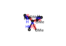 COCCOCCOCCN(CCCC(=O)NC(C)(C)C1CCCCC1)c1cc(COc2cc3c(cc2OC)C(=O)N2c4ccccc4C[C@H]2C=N3)cc(COc2cc3c(cc2OC)C(=O)N2c4ccccc4C[C@H]2CN3)c1